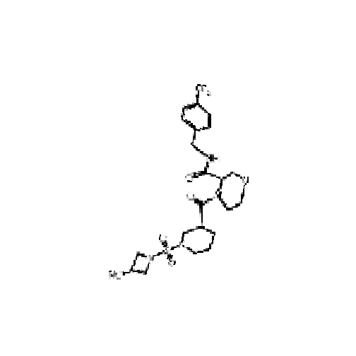 N#CC1CN(S(=O)(=O)N2CCC[C@H](C(=O)N3CCOC[C@@H]3C(=O)NCc3ccc(C(F)(F)F)cc3)C2)C1